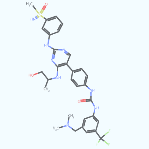 CC(CO)Nc1nc(Nc2cccc(S(C)(=N)=O)c2)ncc1-c1ccc(NC(=O)Nc2cc(CN(C)C)cc(C(F)(F)F)c2)cc1